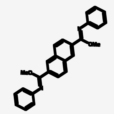 CO/C(=N\c1ccccc1)c1ccc2cc(/C(=N/c3ccccc3)OC)ccc2c1